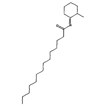 CCCCCCCCCCCCCC(=O)N=C1CCCCC1C